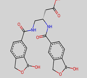 O=C(O)C[C@@H](CNC(=O)c1ccc2c(c1)B(O)OC2)NC(=O)c1ccc2c(c1)COB2O